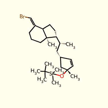 C[C@H](C[C@@H]1C=C[C@](C)(O[Si](C)(C)C(C)(C)C)C1)[C@H]1CCC2/C(=C/Br)CCC[C@@]21C